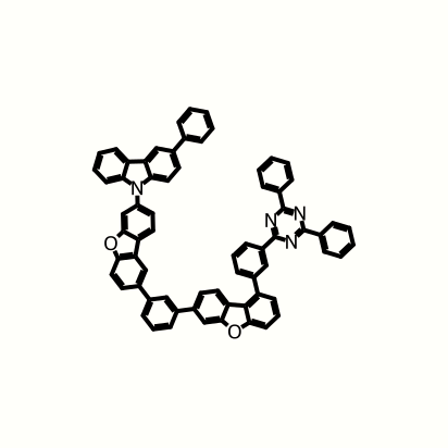 c1ccc(-c2ccc3c(c2)c2ccccc2n3-c2ccc3c(c2)oc2ccc(-c4cccc(-c5ccc6c(c5)oc5cccc(-c7cccc(-c8nc(-c9ccccc9)nc(-c9ccccc9)n8)c7)c56)c4)cc23)cc1